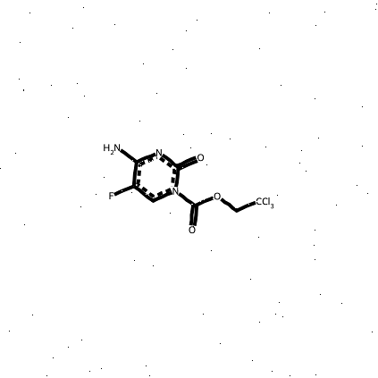 Nc1nc(=O)n(C(=O)OCC(Cl)(Cl)Cl)cc1F